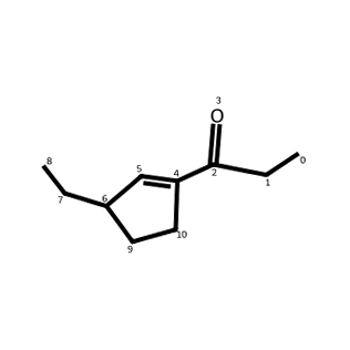 CCC(=O)C1=CC(CC)CC1